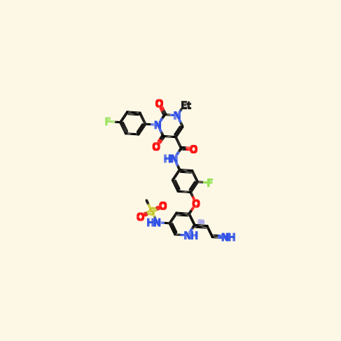 CCn1cc(C(=O)Nc2ccc(OC3=CC(NS(C)(=O)=O)=CN/C3=C\C=N)c(F)c2)c(=O)n(-c2ccc(F)cc2)c1=O